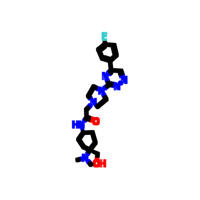 CN(C)[C@]1(CO)CC[C@@H](NC(=O)CN2CCN(c3nncc(-c4ccc(F)cc4)n3)CC2)CC1